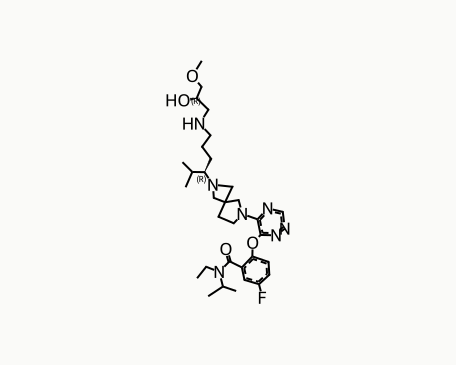 CCN(C(=O)c1cc(F)ccc1Oc1nncnc1N1CCC2(C1)CN([C@H](CCCNC[C@@H](O)COC)C(C)C)C2)C(C)C